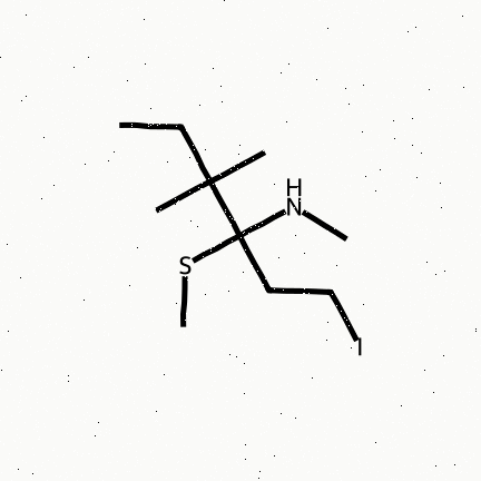 CCC(C)(C)C(CCI)(NC)SC